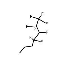 [CH2]CCC(F)(F)C(F)[C@H](F)C(F)(F)F